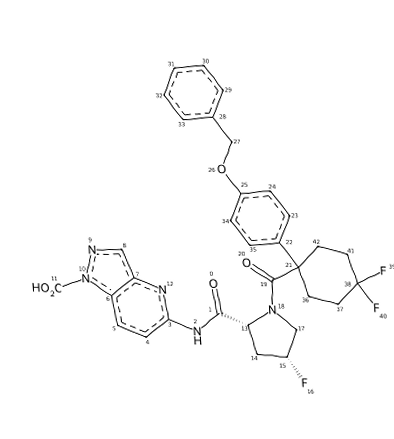 O=C(Nc1ccc2c(cnn2C(=O)O)n1)[C@H]1C[C@@H](F)CN1C(=O)C1(c2ccc(OCc3ccccc3)cc2)CCC(F)(F)CC1